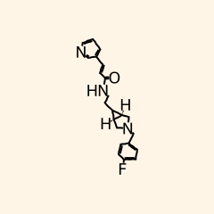 O=C(/C=C/c1cccnc1)NCCC1[C@H]2CN(Cc3ccc(F)cc3)C[C@@H]12